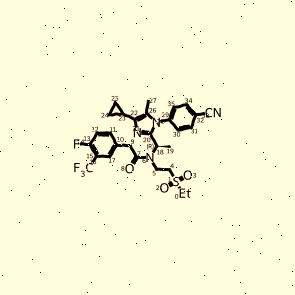 CCS(=O)(=O)CCN(C(=O)Cc1ccc(F)c(C(F)(F)F)c1)[C@H](C)c1nc(C2CC2)c(C)n1-c1ccc(C#N)cc1